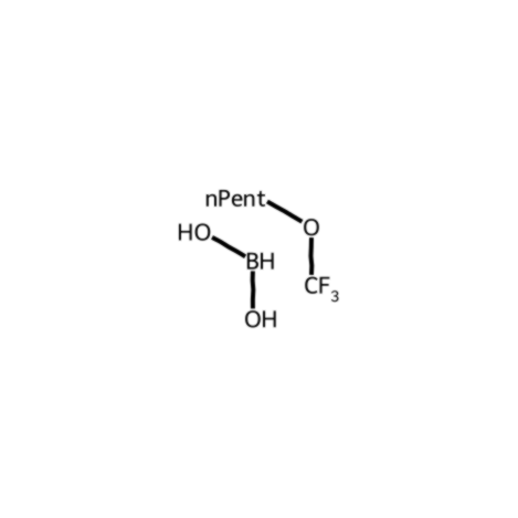 CCCCCOC(F)(F)F.OBO